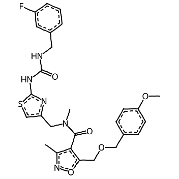 COc1ccc(COCc2onc(C)c2C(=O)N(C)Cc2csc(NC(=O)NCc3cccc(F)c3)n2)cc1